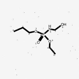 CCCOP(=O)(NCO)OCC